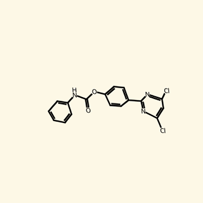 O=C(Nc1ccccc1)Oc1ccc(-c2nc(Cl)cc(Cl)n2)cc1